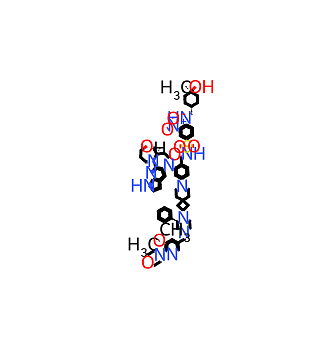 COc1cc(CN2CCN(C3CC4(CCN(c5ccc(C(=O)NS(=O)(=O)c6ccc(NC[C@H]7CC[C@](C)(O)CC7)c([N+](=O)[O-])c6)c(N6CC[C@@H]7COCCCN7c7nc8[nH]ccc8cc76)c5)CC4)C3)[C@H](c3ccccc3C)C2)cnc1N1CCOCC1